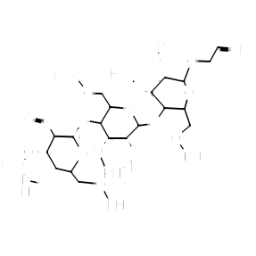 C=CCOC1OC(COP)C(OC2OC(COP)C(O[C@H]3OC(COP)[C@H](OP)[C@H](OP)C3P=O)[C@H](OP)[C@@H]2OP)[C@H](OP)[C@@H]1OP